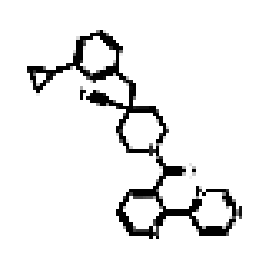 N#CC1(Cc2cccc(C3CC3)c2)CCN(C(=O)c2cccnc2-c2ccncn2)CC1